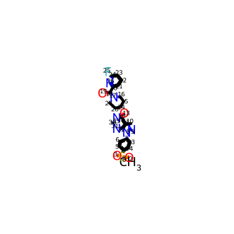 CS(=O)(=O)c1ccc(-n2ncc3c(OC4CCN(C(=O)c5cccc(F)n5)CC4)ncnc32)cc1